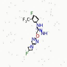 N=N/C(=C\Nc1ccc(F)c(C(F)(F)F)c1)COc1ncc(N2CC(F)C2)cn1